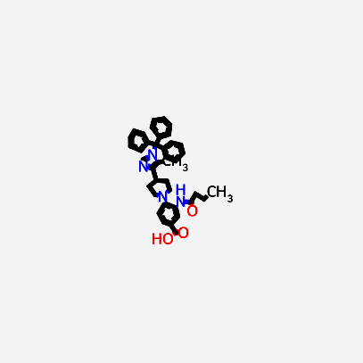 CCCC(=O)Nc1cc(C(=O)O)ccc1N1CCC(c2ncn(C(c3ccccc3)(c3ccccc3)c3ccccc3)c2C)CC1